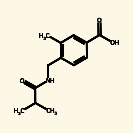 Cc1cc(C(=O)O)ccc1CNC(=O)C(C)C